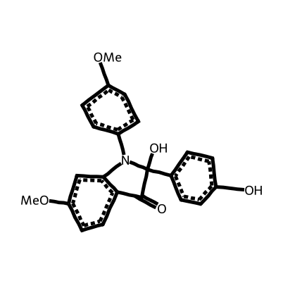 COc1ccc(N2c3cc(OC)ccc3C(=O)C2(O)c2ccc(O)cc2)cc1